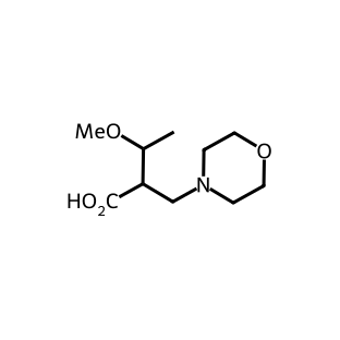 COC(C)C(CN1CCOCC1)C(=O)O